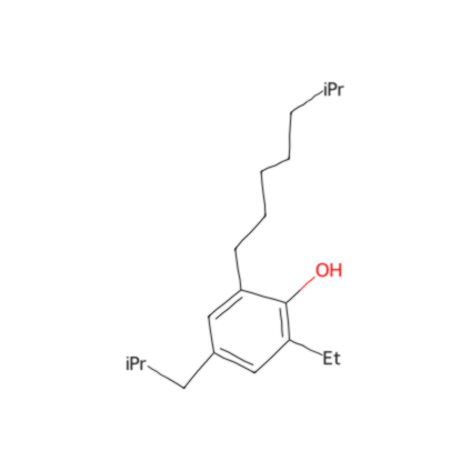 CCc1cc(CC(C)C)cc(CCCCCC(C)C)c1O